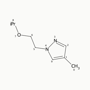 Cc1cnn(CCOC(C)C)c1